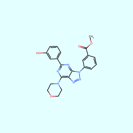 COC(=O)c1cccc(-n2nnc3c(N4CCOCC4)nc(-c4cccc(O)c4)nc32)c1